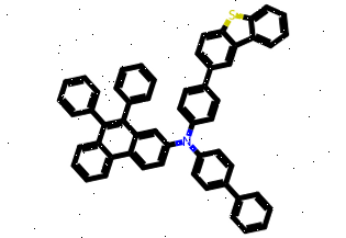 c1ccc(-c2ccc(N(c3ccc(-c4ccc5sc6ccccc6c5c4)cc3)c3ccc4c(c3)c(-c3ccccc3)c(-c3ccccc3)c3ccccc34)cc2)cc1